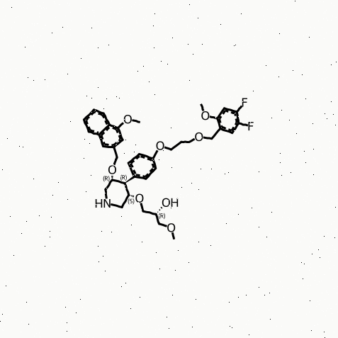 COC[C@@H](O)CO[C@@H]1CNC[C@H](OCc2cc(OC)c3ccccc3c2)[C@H]1c1ccc(OCCCOCc2cc(F)c(F)cc2OC)cc1